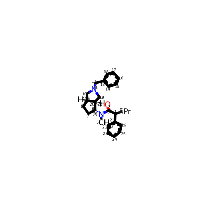 CC(C)C(C(=O)N(C)[C@@H]1CC[C@H]2CN(Cc3ccccc3)C[C@H]21)c1ccccc1